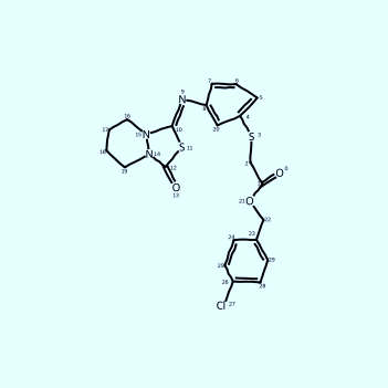 O=C(CSc1cccc(N=c2sc(=O)n3n2CCCC3)c1)OCc1ccc(Cl)cc1